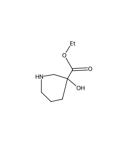 CCOC(=O)C1(O)CCCNC1